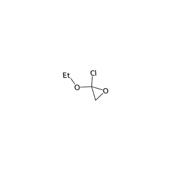 CCOC1(Cl)CO1